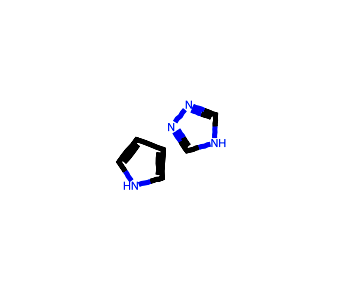 c1cc[nH]c1.c1nnc[nH]1